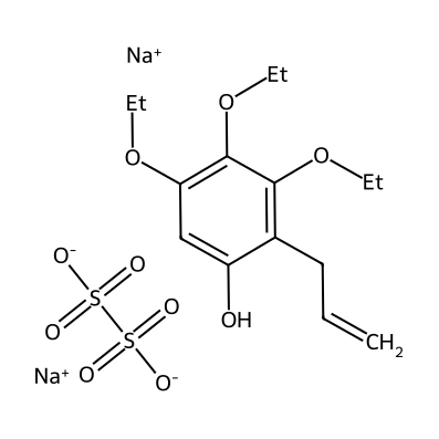 C=CCc1c(O)cc(OCC)c(OCC)c1OCC.O=S(=O)([O-])S(=O)(=O)[O-].[Na+].[Na+]